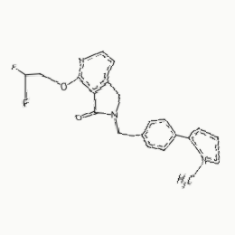 Cn1cccc1-c1ccc(CN2Cc3ccnc(OCC(F)F)c3C2=O)cc1